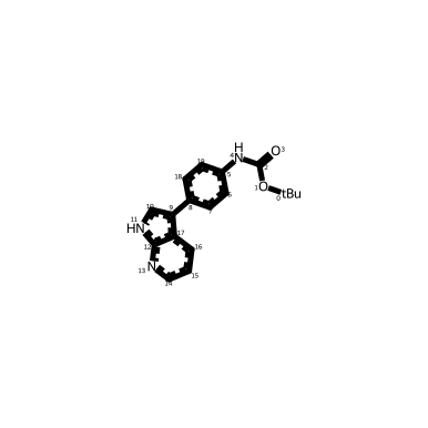 CC(C)(C)OC(=O)Nc1ccc(-c2c[nH]c3ncccc23)cc1